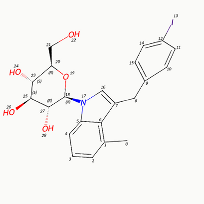 Cc1cccc2c1c(Cc1ccc(I)cc1)cn2[C@@H]1O[C@H](CO)[C@@H](O)[C@H](O)[C@H]1O